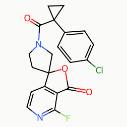 O=C1OC2(CCN(C(=O)C3(c4ccc(Cl)cc4)CC3)C2)c2ccnc(F)c21